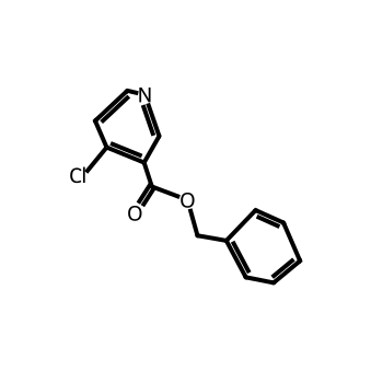 O=C(OCc1ccccc1)c1cnccc1Cl